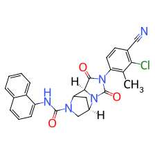 Cc1c(N2C(=O)[C@@H]3C4C[C@H](CN4C(=O)Nc4cccc5ccccc45)N3C2=O)ccc(C#N)c1Cl